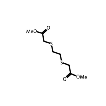 COC(=O)CSCCSCC(=O)OC